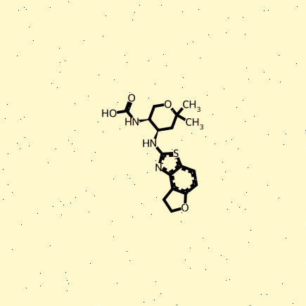 CC1(C)C[C@@H](Nc2nc3c4c(ccc3s2)OCC4)[C@@H](NC(=O)O)CO1